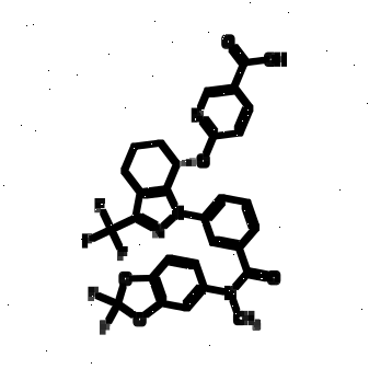 CN(C(=O)c1cccc(-n2nc(C(F)(F)F)c3c2[C@@H](Oc2ccc(C(=O)O)cn2)CCC3)c1)c1ccc2c(c1)OC(F)(F)O2